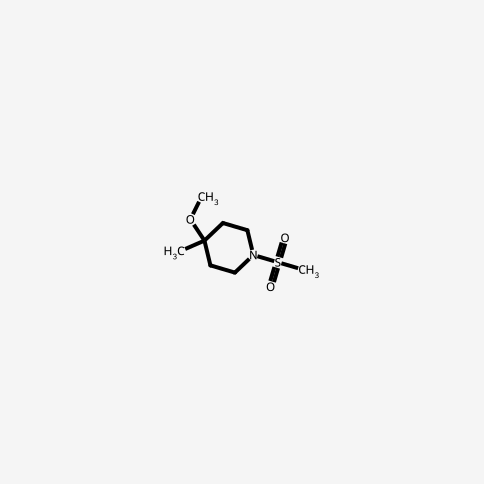 COC1(C)CCN(S(C)(=O)=O)CC1